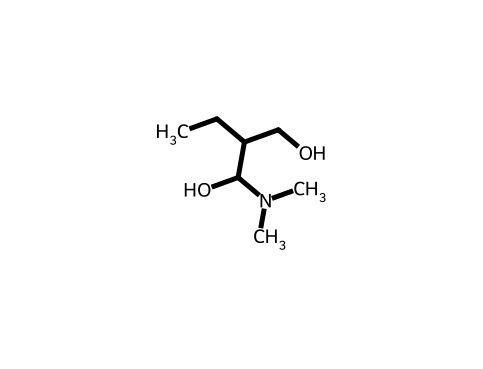 CCC(CO)C(O)N(C)C